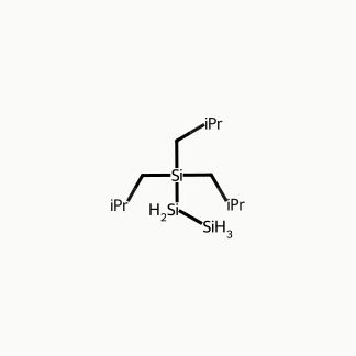 CC(C)C[Si](CC(C)C)(CC(C)C)[SiH2][SiH3]